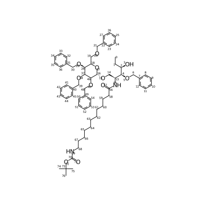 CC[C@@H](O)[C@@H](OCc1ccccc1)[C@H](CO[C@H]1OC(COCc2ccccc2)[C@H](OCc2ccccc2)C(OCc2ccccc2)C1OCc1ccccc1)NC(=O)CCCCCCCCCCCNC(=O)OC(C)(C)C